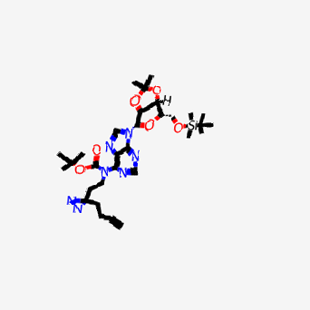 C#CCCC1(CCN(C(=O)OC(C)(C)C)c2ncnc3c2ncn3[C@H]2O[C@@H](CO[Si](C)(C)C(C)(C)C)[C@H]3OC(C)(C)OC32)N=N1